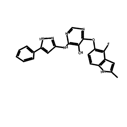 Cc1cc2c(F)c(Oc3ncnc(Nc4cc(-c5ccccc5)[nH]n4)c3C#N)ccc2[nH]1